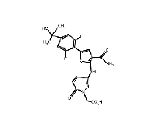 CC(C)(O)c1cc(F)c(-c2cc(C(N)=O)c(Nc3ccc(=O)n(CC(=O)O)n3)s2)c(F)c1